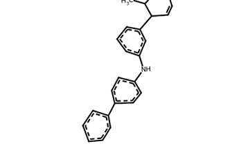 CC1C=CC=CC1c1cccc(Nc2ccc(-c3ccccc3)cc2)c1